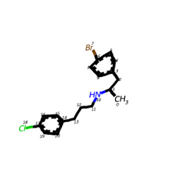 CC(Cc1ccc(Br)cc1)NCCCc1ccc(Cl)cc1